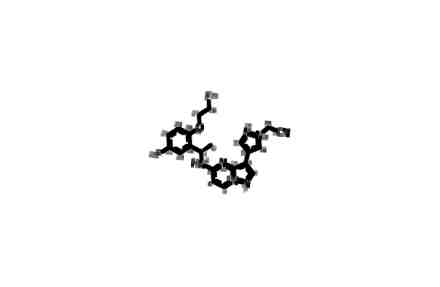 C[C@@H](Nc1ccn2ncc(-c3cnn(CC#N)c3)c2n1)c1cc(F)ccc1OCCF